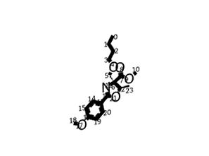 CCCCOC[C@@]1(C(=O)OC)N=C(c2ccc(OC)cc2)O[C@@H]1C